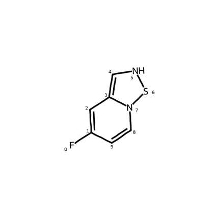 FC1=CC2=CNSN2C=C1